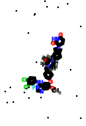 [2H]C1([2H])N(CC2CCC(Oc3cc4c(Nc5ccc(Cl)c(Cl)c5F)ncnc4cc3OC)CC2)C([2H])([2H])C([2H])([2H])N(c2ccc3cn(C4CCC(=O)NC4=O)cc3c2)C1([2H])[2H]